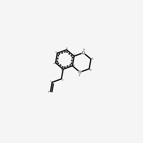 C=CCc1cccc2c1OCCO2